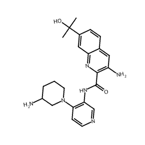 CC(C)(O)c1ccc2cc(N)c(C(=O)Nc3cnccc3N3CCCC(N)C3)nc2c1